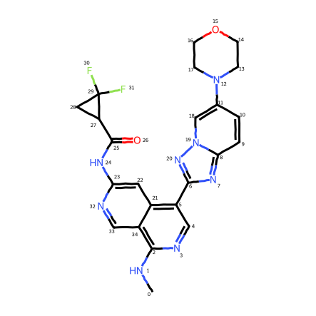 CNc1ncc(-c2nc3ccc(N4CCOCC4)cn3n2)c2cc(NC(=O)C3CC3(F)F)ncc12